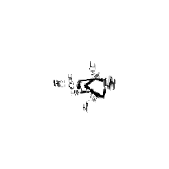 C1N[C@@H]2CN[C@H]1C2.Cl.Cl